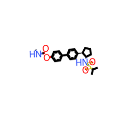 CNC(=O)Oc1ccc(-c2ccc([C@H]3CCC[C@H]3NS(=O)(=O)C(C)C)cc2)cc1